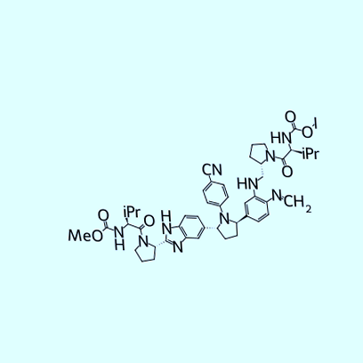 C=Nc1ccc([C@H]2CC[C@H](c3ccc4[nH]c([C@@H]5CCCN5C(=O)[C@@H](NC(=O)OC)C(C)C)nc4c3)N2c2ccc(C#N)cc2)cc1NC[C@@H]1CCCN1C(=O)[C@@H](NC(=O)OI)C(C)C